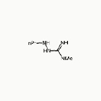 CCCNNC(=N)NC